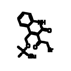 CC(C)(C)[Si](C)(C)OCc1c(C(=O)CBr)c(=O)[nH]c2ccccc12